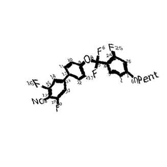 CCCCCc1ccc(C(F)(F)Oc2ccc(-c3cc(F)c(C#N)c(F)c3)cc2)c(F)c1